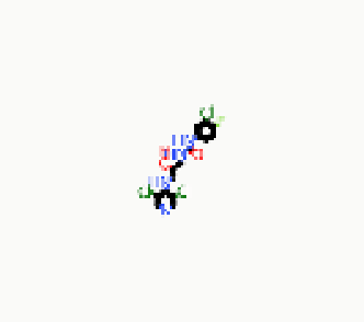 O=C(NCC(O)CNc1c(Cl)cncc1Cl)Nc1ccc(F)c(Cl)c1